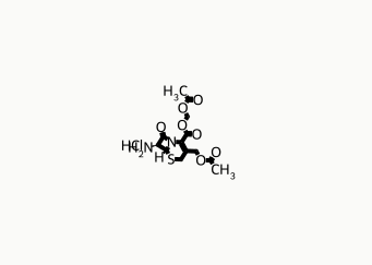 CC(=O)OCOC(=O)C1=C(COC(C)=O)CS[C@@H]2[C@H](N)C(=O)N12.Cl